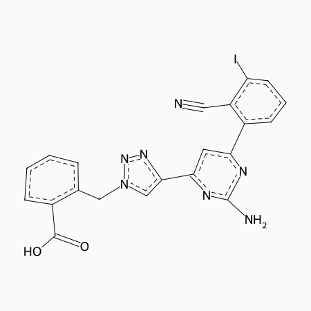 N#Cc1c(I)cccc1-c1cc(-c2cn(Cc3ccccc3C(=O)O)nn2)nc(N)n1